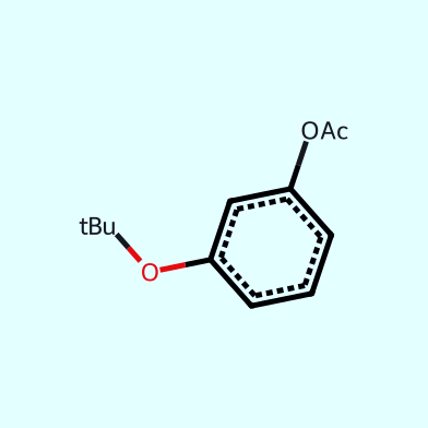 CC(=O)Oc1cccc(OC(C)(C)C)c1